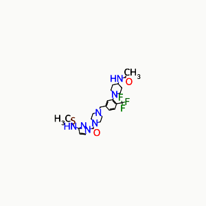 CSNc1ccn(C(=O)N2CCN(Cc3ccc(C(F)(F)F)c(N4CCC(NC(C)=O)CC4)c3)CC2)n1